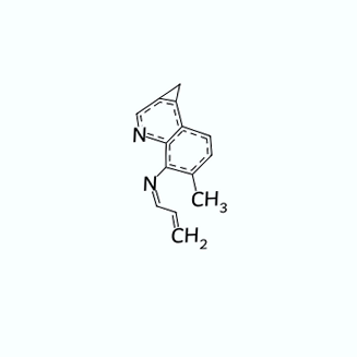 C=C/C=N\c1c(C)ccc2c3c(cnc12)C3